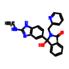 O=C(O)Nc1nc2cc(C3(O)c4ccccc4C(=O)N3Cc3ccccn3)ccc2[nH]1